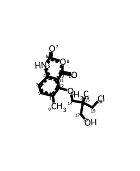 Cc1ccc2[nH]c(=O)oc(=O)c2c1OCC(C)(CO)CCl